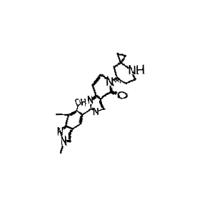 Cc1c(O)c(-c2ncc3c(=O)n([C@@H]4CCNC5(CC5)C4)ccc3n2)cc2cn(C)nc12